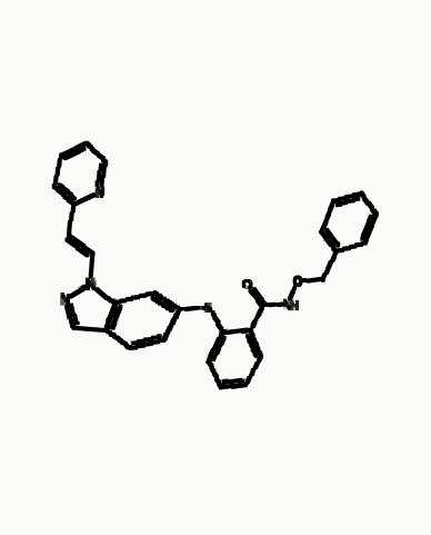 O=C(NOCc1ccccc1)c1ccccc1Sc1ccc2cnn(C=Cc3ccccn3)c2c1